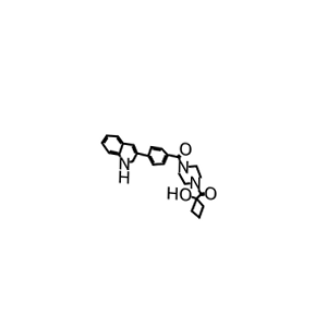 O=C(c1ccc(C2=Cc3ccccc3NC2)cc1)N1CCN(C(=O)C2(O)CCC2)CC1